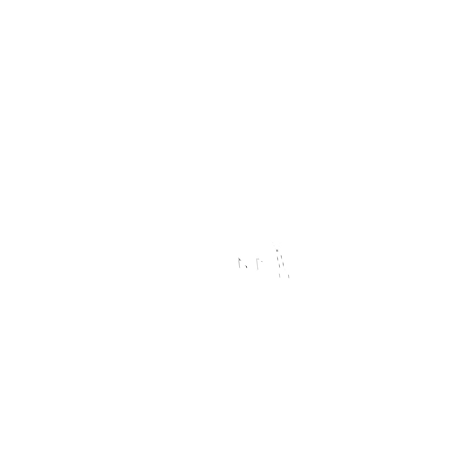 [Nd].[O]=[V].[Y]